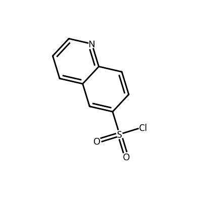 O=S(=O)(Cl)c1ccc2ncccc2c1